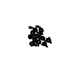 Cc1cc(C)cc(N(c2cc(C)cc(C)c2)c2ccc3c(c2)N(c2ccc(C(C)(C)C)cc2)c2cc([Si](c4ccccc4)(c4ccccc4)c4ccc5oc6ccccc6c5c4)cc4c2B3c2sc3ccc(C(C)(C)C)cc3c2N4c2ccc(C(C)(C)C)cc2)c1